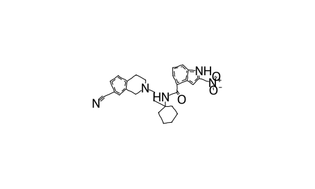 N#Cc1ccc2c(c1)CN(CCC1(NC(=O)c3cccc4[nH]c([N+](=O)[O-])cc34)CCCCC1)CC2